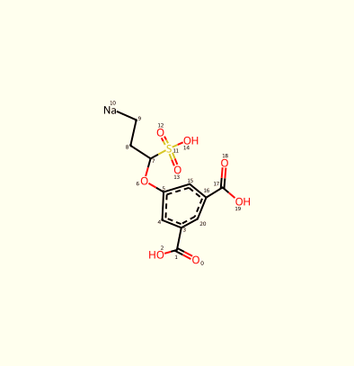 O=C(O)c1cc(OC(C[CH2][Na])S(=O)(=O)O)cc(C(=O)O)c1